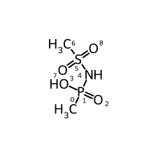 CP(=O)(O)NS(C)(=O)=O